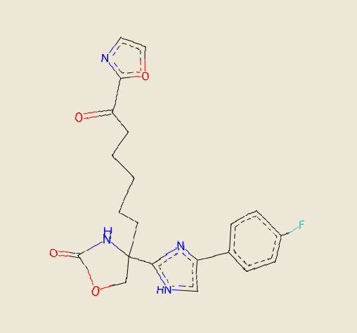 O=C1NC(CCCCCC(=O)c2ncco2)(c2nc(-c3ccc(F)cc3)c[nH]2)CO1